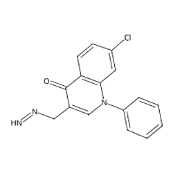 N=NCc1cn(-c2ccccc2)c2cc(Cl)ccc2c1=O